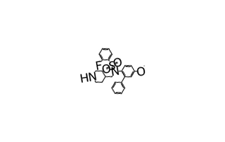 COc1ccc(N(CC2CCNCC2)S(=O)(=O)c2ccccc2F)c(-c2ccccc2)c1